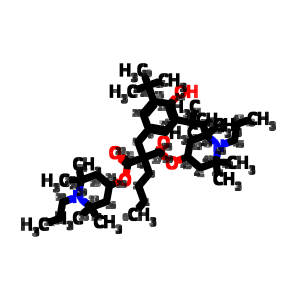 CCCCC(Cc1cc(C(C)(C)C)c(O)c(C(C)(C)C)c1)(C(=O)OC1CC(C)(C)N(CCC)C(C)(C)C1)C(=O)OC1CC(C)(C)N(CCC)C(C)(C)C1